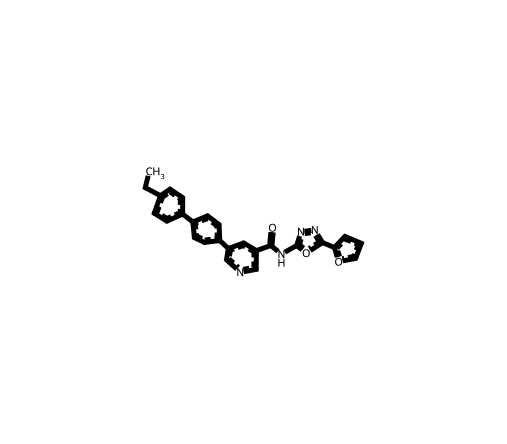 CCc1ccc(-c2ccc(-c3cncc(C(=O)Nc4nnc(-c5ccco5)o4)c3)cc2)cc1